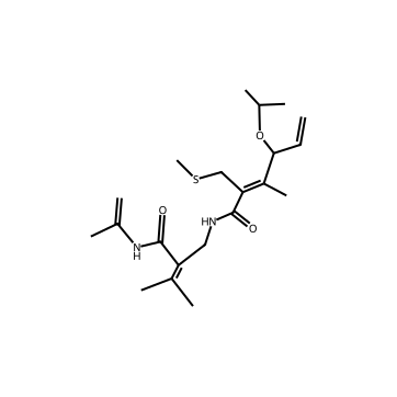 C=CC(OC(C)C)/C(C)=C(\CSC)C(=O)NCC(C(=O)NC(=C)C)=C(C)C